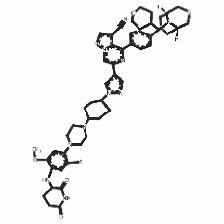 COc1cc(N2CCN(C3CCC(n4cc(-c5cn6ncc(C#N)c6c(-c6ccc(N7C[C@H]8COC[C@@H](C7)N8CC7CCOCC7)nc6)n5)cn4)CC3)CC2)c(F)cc1NC1CCC(=O)NC1=O